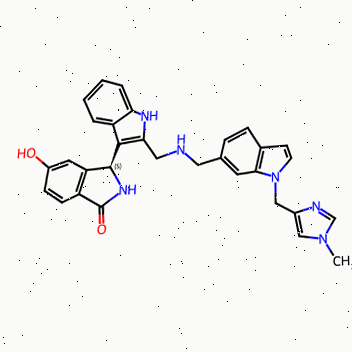 Cn1cnc(Cn2ccc3ccc(CNCc4[nH]c5ccccc5c4[C@H]4NC(=O)c5ccc(O)cc54)cc32)c1